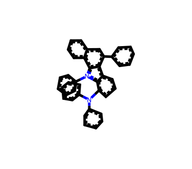 c1ccc(-c2cc3ccccc3c3c2c2cccc(N(c4ccccc4)c4ccccc4)c2n3-c2ccccc2)cc1